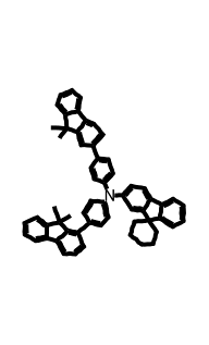 CC1(C)c2ccccc2-c2ccc(-c3ccc(N(c4ccc(-c5cccc6c5C(C)(C)c5ccccc5-6)cc4)c4ccc5c(c4)C4(CCCCC4)c4ccccc4-5)cc3)cc21